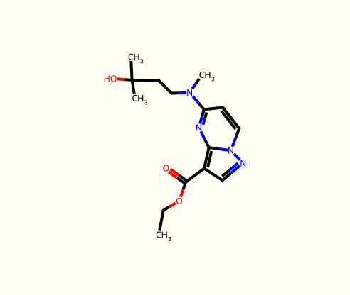 CCOC(=O)c1cnn2ccc(N(C)CCC(C)(C)O)nc12